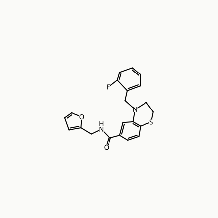 O=C(NCc1ccco1)c1ccc2c(c1)N(Cc1ccccc1F)CCS2